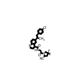 C/C(=C\c1ccc(Cl)cc1)c1ccc2nccc(C(=O)NCC(=O)N3CC(F)(F)CC3C#N)c2c1